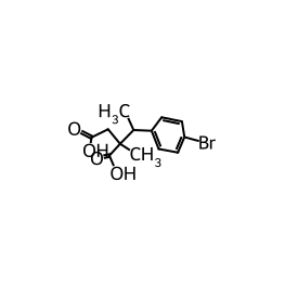 CC(c1ccc(Br)cc1)C(C)(CC(=O)O)C(=O)O